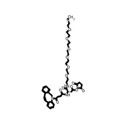 COCCOCCOCCOCCOCCOCCOCCNC(=O)[C@H](CC(=O)ON1C(=O)CCC1=O)NC(=O)CCC(=O)N1Cc2ccccc2C#Cc2ccccc21